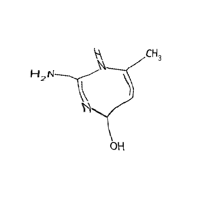 CC1=CC(O)N=C(N)N1